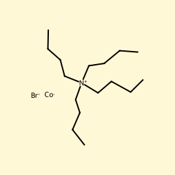 CCCC[N+](CCCC)(CCCC)CCCC.[Br-].[Co]